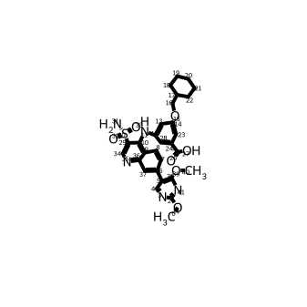 COc1ncc(-c2ccc3c(Nc4cc(OCC5CCCCC5)cc(C(=O)O)c4)c(S(N)(=O)=O)cnc3c2)c(OC)n1